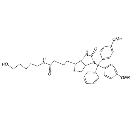 COc1ccc(C(c2ccccc2)(c2ccc(OC)cc2)N2C(=O)NC3C(CCCC(=O)NCCCCCO)SCC32)cc1